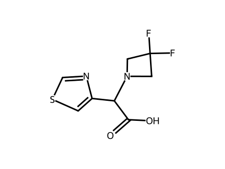 O=C(O)C(c1cscn1)N1CC(F)(F)C1